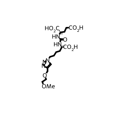 COCCOCc1cn(CCCC[C@H](NC(=O)N[C@@H](CCC(=O)O)C(=O)O)C(=O)O)nn1